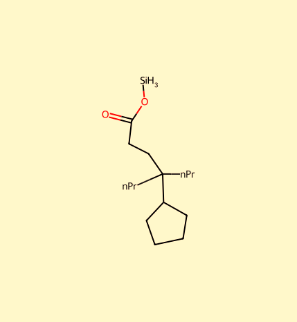 CCCC(CCC)(CCC(=O)O[SiH3])C1CCCC1